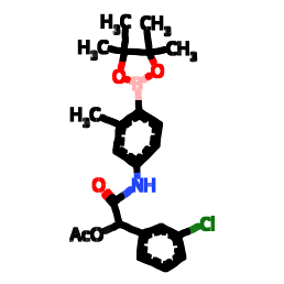 CC(=O)OC(C(=O)Nc1ccc(B2OC(C)(C)C(C)(C)O2)c(C)c1)c1cccc(Cl)c1